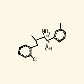 Cc1cccc([C@@H](O)[C@H](N)C(C)Cc2ccccc2Cl)c1